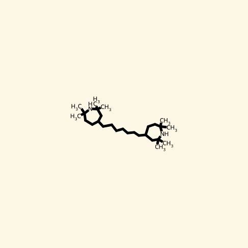 CC1(C)CCC(CCCCCCCC2CCC(C)(C)NC(C)(C)C2)CC(C)(C)N1